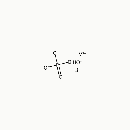 O=P([O-])([O-])[O-].[Li+].[OH-].[V+3]